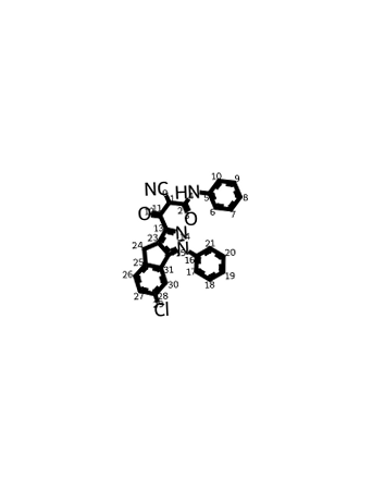 N#CC(C(=O)Nc1ccccc1)C(=O)c1nn(-c2ccccc2)c2c1Cc1ccc(Cl)cc1-2